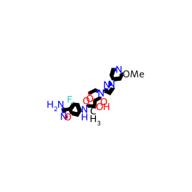 COc1cc(-n2ccc(N3CCOC(C(C)(O)C(=O)Nc4cc(F)c5c(N)noc5c4)C3=O)n2)ccn1